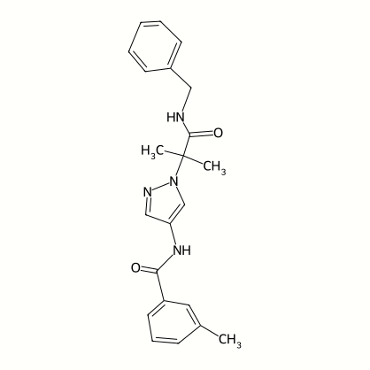 Cc1cccc(C(=O)Nc2cnn(C(C)(C)C(=O)NCc3ccccc3)c2)c1